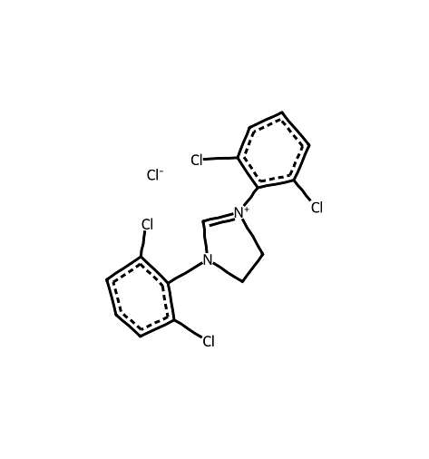 Clc1cccc(Cl)c1N1C=[N+](c2c(Cl)cccc2Cl)CC1.[Cl-]